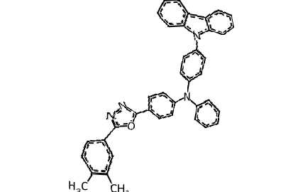 Cc1ccc(-c2nnc(-c3ccc(N(c4ccccc4)c4ccc(-n5c6ccccc6c6ccccc65)cc4)cc3)o2)cc1C